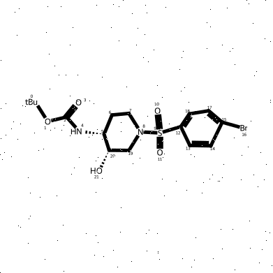 CC(C)(C)OC(=O)N[C@@H]1CCN(S(=O)(=O)c2ccc(Br)cc2)C[C@@H]1O